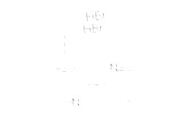 Br.Br.CC1c2ccnc(-c3ccccn3)c21